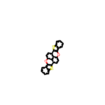 c1ccc2c3c(sc2c1)-c1ccc2c4c(ccc(c14)O3)-c1sc3ccccc3c1O2